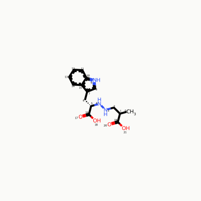 CC(CNN[C@@H](Cc1c[nH]c2ccccc12)C(=O)O)C(=O)O